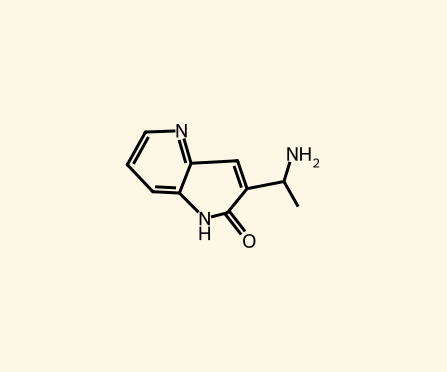 CC(N)c1cc2ncccc2[nH]c1=O